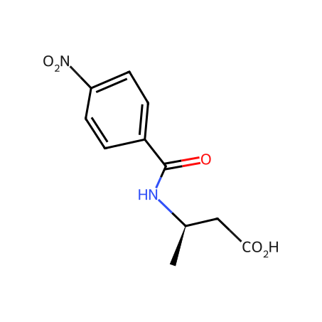 C[C@H](CC(=O)O)NC(=O)c1ccc([N+](=O)[O-])cc1